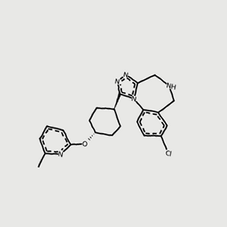 Cc1cccc(O[C@H]2CC[C@H](c3nnc4n3-c3ccc(Cl)cc3CNC4)CC2)n1